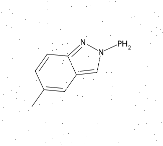 Cc1ccc2nn(P)cc2c1